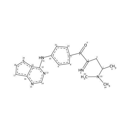 CC(CC(=N)C(=O)c1ccc(Nc2ncnc3ccsc23)cc1)N(C)C